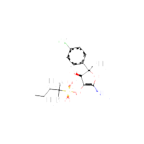 BC1(c2ccc(Cl)cc2)OC(N)=C(OS(=O)(=O)C(B)(B)CCC)C1=O